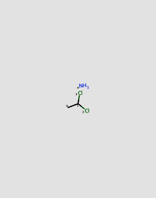 CC(Cl)Cl.N